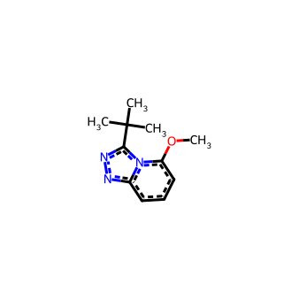 COc1cccc2nnc(C(C)(C)C)n12